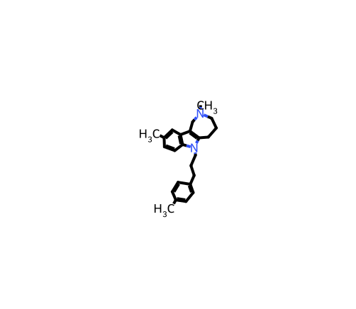 Cc1ccc(CCCn2c3c(c4cc(C)ccc42)CN(C)CCC3)cc1